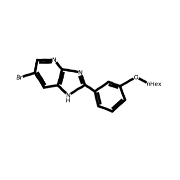 CCCCCCOc1cccc(-c2nc3ncc(Br)cc3[nH]2)c1